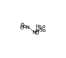 CCCN(CCCCCCN1Cc2cc(OC)c(OC)cc2C1)CC(=O)NCCSC(c1ccccc1)(c1ccccc1)c1ccccc1